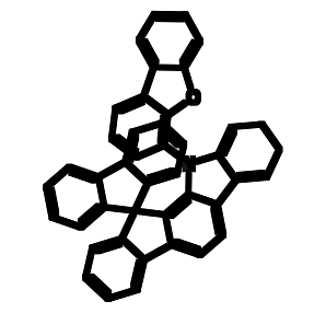 C1=c2c(n(-c3cccc4c3oc3ccccc34)c3c4c(ccc23)-c2ccccc2C42c3ccccc3-c3ccccc32)=CCC1